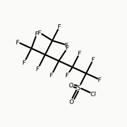 O=S(=O)(Cl)C(F)(F)C(F)(F)C(F)(F)C(F)(C(F)(F)F)C(F)(F)F